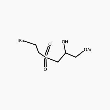 CC(=O)OCC(O)CS(=O)(=O)CCC(C)(C)C